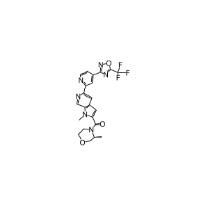 C[C@H]1COCCN1C(=O)c1cc2cc(-c3cc(-c4noc(C(F)(F)F)n4)ccn3)ncc2n1C